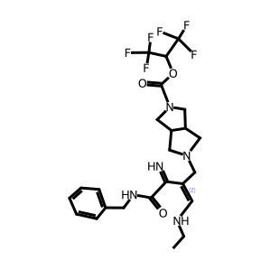 CCN/C=C(/CN1CC2CN(C(=O)OC(C(F)(F)F)C(F)(F)F)CC2C1)C(=N)C(=O)NCc1ccccc1